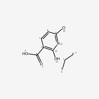 FCF.O=C(O)c1ccc(Cl)nc1O